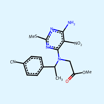 [C-]#[N+]c1ccc(C(C)N(CC(=O)OC)c2nc(SC)nc(N)c2[N+](=O)[O-])cc1